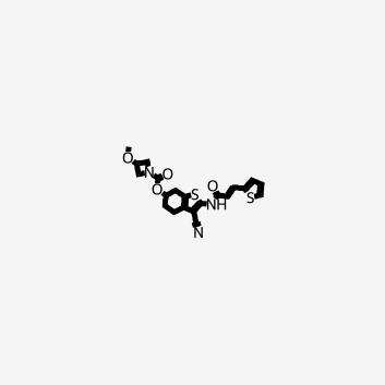 COC1CN(C(=O)OC2CCc3c(sc(NC(=O)C=Cc4cccs4)c3C#N)C2)C1